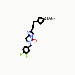 COc1ccc(CC#Cc2cn3c(n2)CCN(Cc2ccc(F)c(F)c2)C3=O)cc1